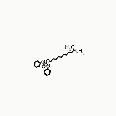 CC(C)CCCCCCCCCOP(=O)(Oc1ccccc1)Oc1ccccc1